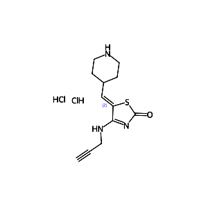 C#CCNC1=NC(=O)S/C1=C\C1CCNCC1.Cl.Cl